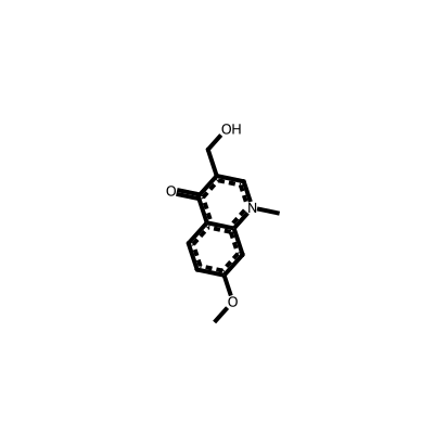 COc1ccc2c(=O)c(CO)cn(C)c2c1